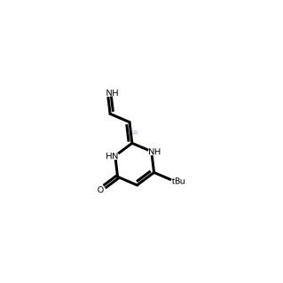 CC(C)(C)C1=CC(=O)N/C(=C\C=N)N1